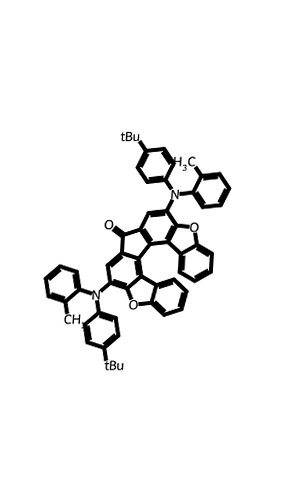 Cc1ccccc1N(c1ccc(C(C)(C)C)cc1)c1cc2c(c3c1oc1ccccc13)-c1c(cc(N(c3ccc(C(C)(C)C)cc3)c3ccccc3C)c3oc4ccccc4c13)C2=O